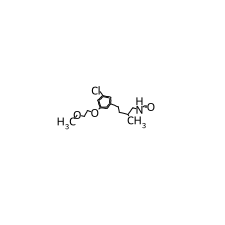 COCCOc1cc(Cl)cc(CCC(C)CNC=O)c1